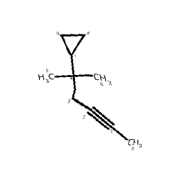 CC#CCC(C)(C)C1CC1